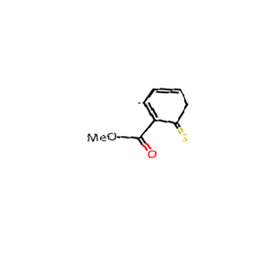 COC(=O)C1=[C]C=CCC1=S